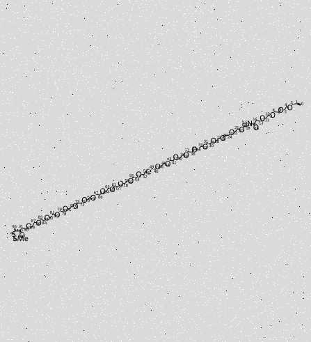 C#CCOCCOCCOCCOCCC(=O)NCCOCCOCCOCCOCCOCCOCCOCCOCCOCCOCCOCCOCCOCCOCCOCCOCCOCCOCCOCCOCCOCCOCCOCCOCCC(=O)C(C)SSC